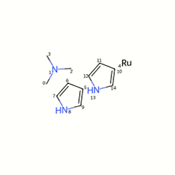 CN(C)C.[Ru].c1cc[nH]c1.c1cc[nH]c1